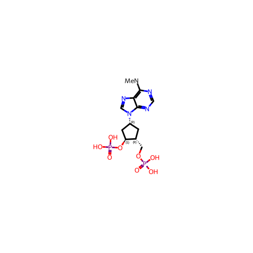 CNc1ncnc2c1ncn2[C@@H]1C[C@H](COP(=O)(O)O)[C@@H](OP(=O)(O)O)C1